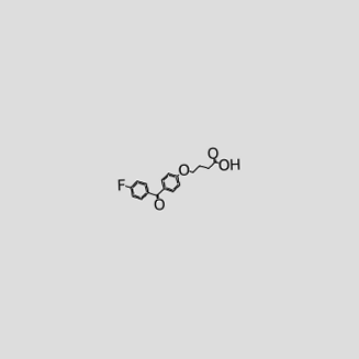 O=C(O)CCCOc1ccc(C(=O)c2ccc(F)cc2)cc1